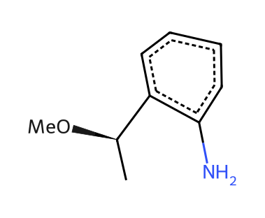 CO[C@H](C)c1ccccc1N